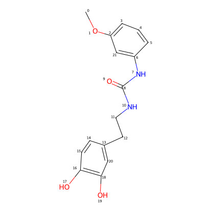 COc1cccc(NC(=O)NCCc2ccc(O)c(O)c2)c1